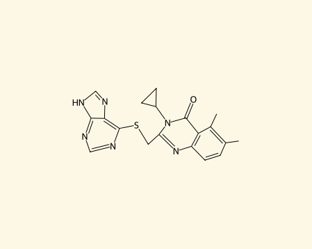 Cc1ccc2nc(CSc3ncnc4[nH]cnc34)n(C3CC3)c(=O)c2c1C